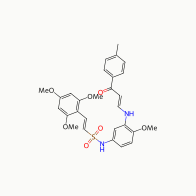 COc1cc(OC)c(/C=C/S(=O)(=O)Nc2ccc(OC)c(N/C=C/C(=O)c3ccc(C)cc3)c2)c(OC)c1